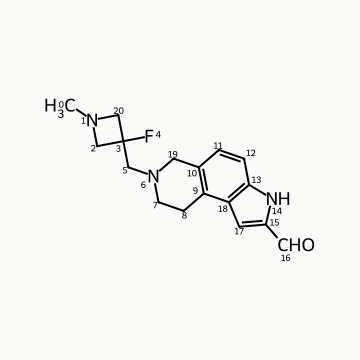 CN1CC(F)(CN2CCc3c(ccc4[nH]c(C=O)cc34)C2)C1